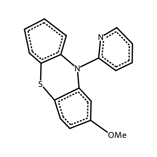 COc1ccc2c(c1)N(c1ccccn1)c1ccccc1S2